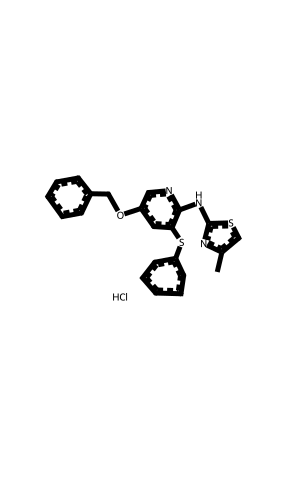 Cc1csc(Nc2ncc(OCc3ccccc3)cc2Sc2ccccc2)n1.Cl